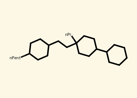 CCCCCC1CCC(CCC2(CCC)CCC(C3CCCCC3)CC2)CC1